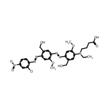 CCN(CCCC(=O)O)c1cc(CO)c(N=Nc2cc(CO)c(N=Nc3ccc([N+](=O)[O-])cc3Cl)cc2OC)cc1OC